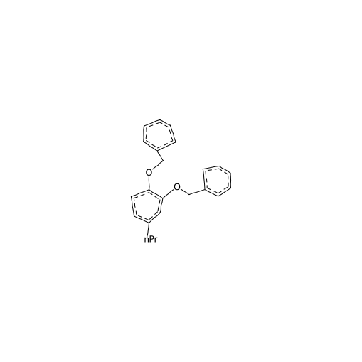 CCCc1ccc(OCc2ccccc2)c(OCc2ccccc2)c1